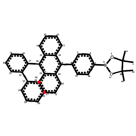 CC1(C)OB(c2ccc(-c3c4ccccc4c(-c4ccccc4-c4ccccc4)c4ccccc34)cc2)OC1(C)C